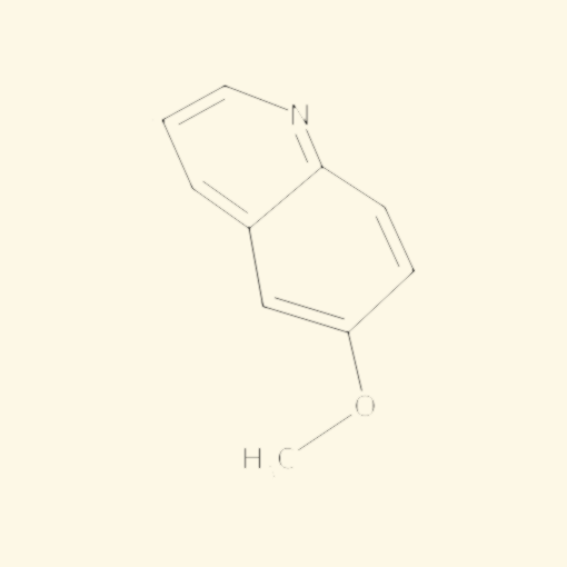 COc1ccc2nc[c]cc2c1